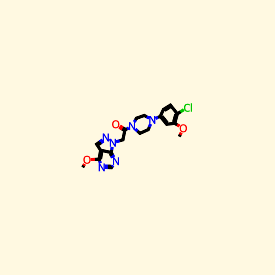 COc1cc(N2CCN(C(=O)Cn3ncc4c(OC)ncnc43)CC2)ccc1Cl